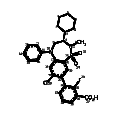 CN1[C@H](C2CCCCC2)CN(c2ccccc2)c2cc(Cl)c(-c3cccc(C(=O)O)c3F)cc2S1(=O)=O